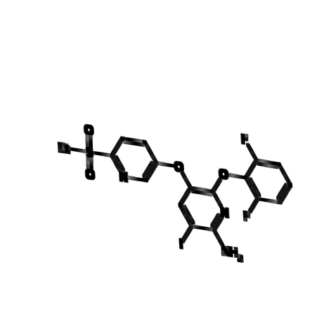 CCS(=O)(=O)c1ccc(Oc2cc(I)c(N)nc2Oc2c(F)cccc2F)cn1